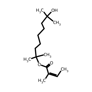 CC=C(C)C(=O)OC(C)(C)CCCCCC(C)(C)O